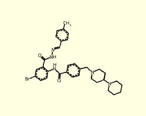 Cc1ccc(/C=N/NC(=O)c2cc(Br)ccc2NC(=O)c2ccc(CN3CCC(N4CCCCC4)CC3)cc2)cc1